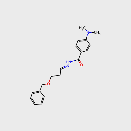 CN(C)c1ccc(C(=O)NN=CCCOCc2ccccc2)cc1